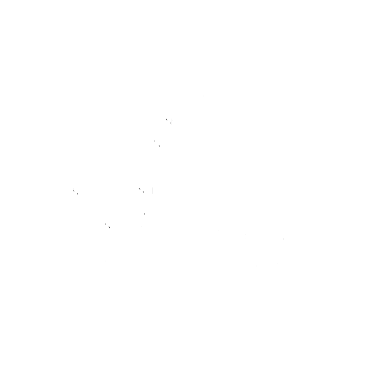 CC1(C)OB(c2ccc(C(=O)Nc3c(-c4ccn(C5CCCCO5)n4)ccnc3N3CCC(F)(F)C3)cc2)OC1(C)C